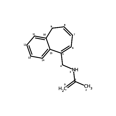 C=C(C)NCC1=CC=CCc2ccccc21